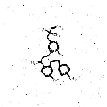 C=CC(C)(C)Cc1ccc(CC)c(CCC(=C)c2ccc(CCC)cc2CCc2ccc(C)cc2)c1